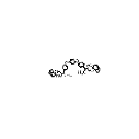 C=C(c1ccc(Oc2ccc(Oc3ccc(C(=C)C4COC5(OO4)C4CC6CC(C4)CC5C6)cc3)cc2)cc1)C1COC2(OO1)C1CC3CC(C1)CC2C3